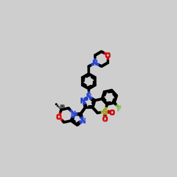 C[C@@H]1Cn2c(cnc2-c2nn(-c3ccc(CN4CCOCC4)cc3)c3c2CS(=O)(=O)c2c(F)cccc2-3)CO1